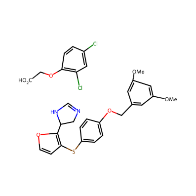 COc1cc(COc2ccc(Sc3ccoc3C3CN=CN3)cc2)cc(OC)c1.O=C(O)COc1ccc(Cl)cc1Cl